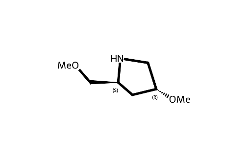 COC[C@@H]1C[C@@H](OC)CN1